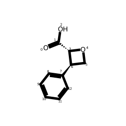 O=C(O)[C@@H]1OC[C@H]1c1ccccc1